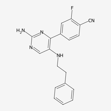 N#Cc1ccc(-c2nc(N)ncc2NCCc2ccccc2)cc1F